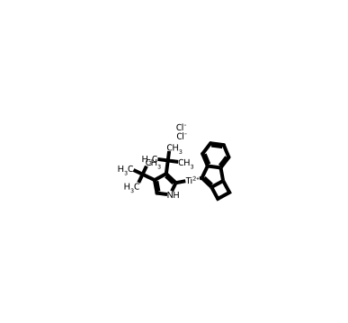 CC(C)(C)c1c[nH][c]([Ti+2][C]2=C3CCC3c3ccccc32)c1C(C)(C)C.[Cl-].[Cl-]